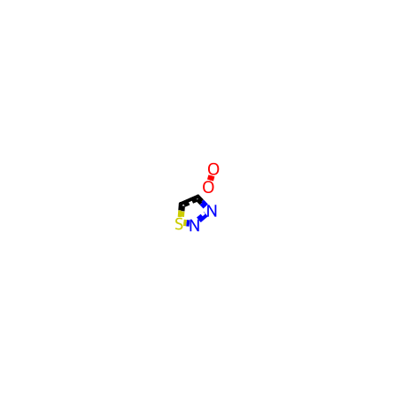 O=O.c1csnn1